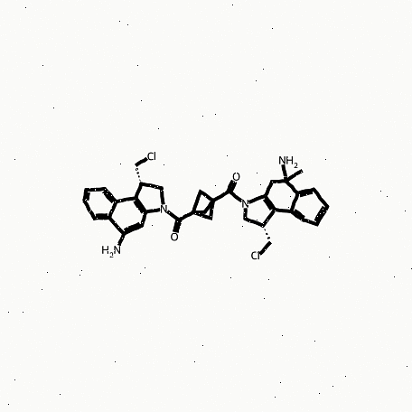 CC1(N)CC2=C(c3ccccc31)[C@H](CCl)CN2C(=O)C12CC(C(=O)N3C[C@@H](CCl)c4c3cc(N)c3ccccc43)(C1)C2